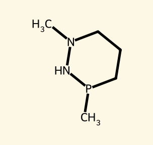 CN1CCCP(C)N1